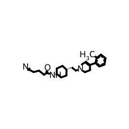 Cc1ccccc1C1=CCN(CC[C@H]2CC[C@H](NC(=O)CCCC#N)CC2)CC1